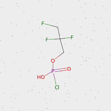 O=P(O)(Cl)OCC(F)(F)CF